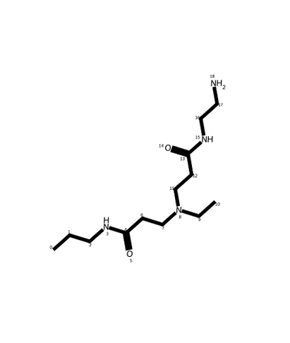 CCCNC(=O)CCN(CC)CCC(=O)NCCN